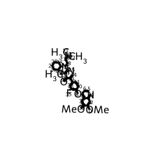 COc1cc2nccc(Oc3ccc(-c4cnc(N(CCN(C)C)C5CCCCC5)n(C)c4=O)cc3F)c2cc1OC